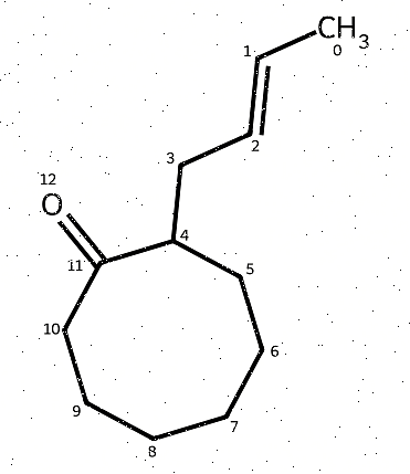 CC=CCC1CCCCCCC1=O